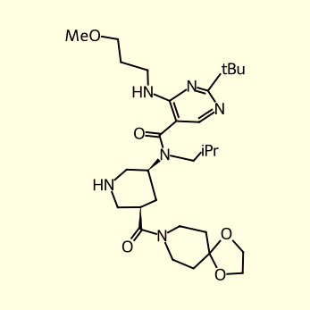 COCCCNc1nc(C(C)(C)C)ncc1C(=O)N(CC(C)C)[C@@H]1CNC[C@H](C(=O)N2CCC3(CC2)OCCO3)C1